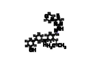 CC(C)Cc1cc(Nc2cccc(-c3cccc(O)c3)c2)ccc1/C=N/Nc1ncc(F)c(N2CCOCC2)n1